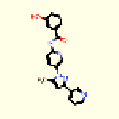 O=C(Nc1ccc(-n2nc(-c3cccnc3)cc2C(F)(F)F)cn1)c1cccc(O)c1